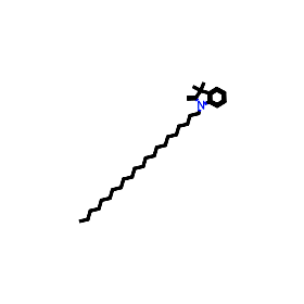 C=C1N(CCCCCCCCCCCCCCCCCCCCCC)c2ccccc2C1(C)C